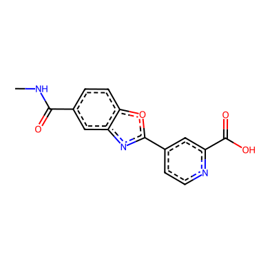 CNC(=O)c1ccc2oc(-c3ccnc(C(=O)O)c3)nc2c1